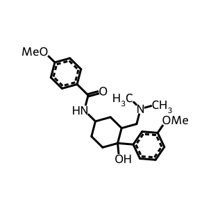 COc1ccc(C(=O)NC2CCC(O)(c3cccc(OC)c3)C(CN(C)C)C2)cc1